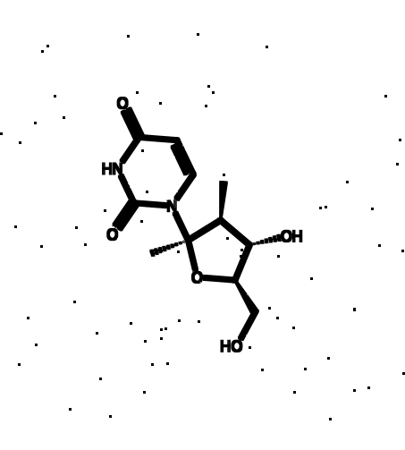 C[C@H]1[C@H](O)[C@@H](CO)O[C@@]1(C)n1ccc(=O)[nH]c1=O